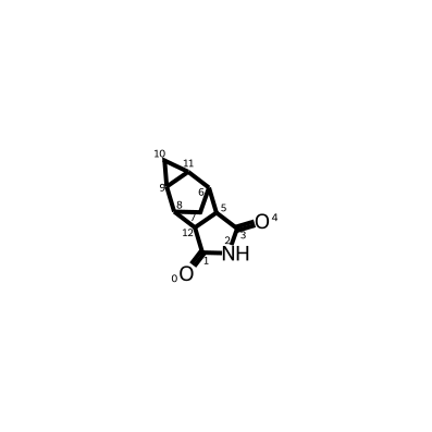 O=C1NC(=O)C2C3CC(C4CC43)C12